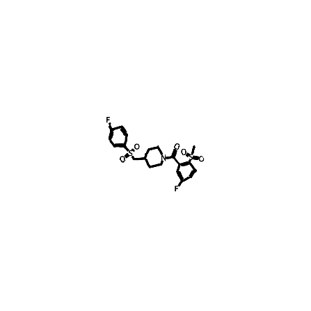 CS(=O)(=O)c1ccc(F)cc1C(=O)N1[CH]CC(CS(=O)(=O)c2ccc(F)cc2)CC1